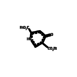 CCOC(=O)c1cc(=O)c(C(=O)OCC)c[nH]1